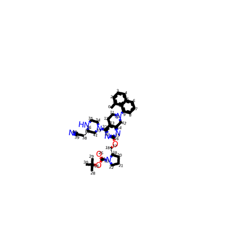 Cc1cccc2cccc(N3CCc4c(nc(OC[C@@H]5CCCN5C(=O)OC(C)(C)C)nc4N4CCN[C@@H](CC#N)C4)C3)c12